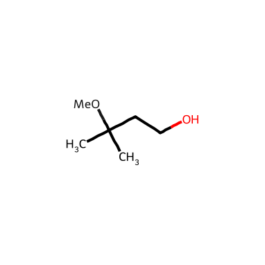 COC(C)(C)CCO